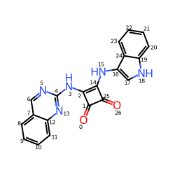 O=c1c(Nc2ncc3ccccc3n2)c(Nc2c[nH]c3ccccc23)c1=O